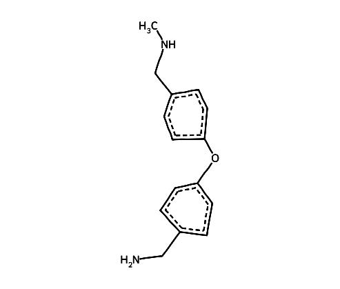 CNCc1ccc(Oc2ccc(CN)cc2)cc1